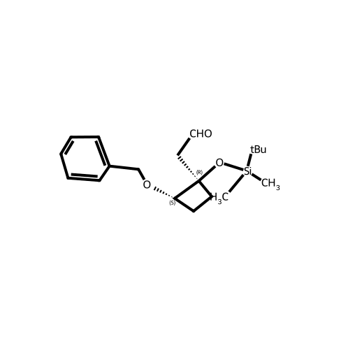 CC(C)(C)[Si](C)(C)O[C@@]1(CC=O)CC[C@@H]1OCc1ccccc1